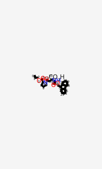 C=CCOC(=O)[C@H]1CCCN1C(=O)C[C@H](NC(=O)OCC1c2ccccc2-c2ccccc21)C(=O)O